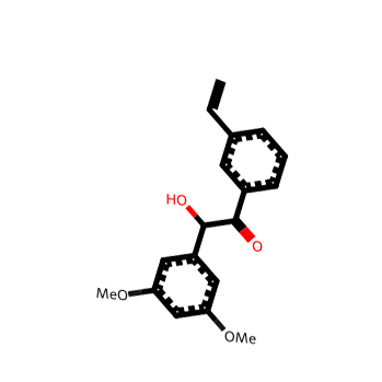 C=Cc1cccc(C(=O)C(O)c2cc(OC)cc(OC)c2)c1